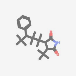 CC(C)(C)C1C(=O)NC(=O)C1C(C)(C)C(C)(C)C(c1ccccc1)C(C)(C)C